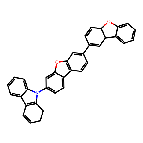 C1=Cc2c(n(-c3ccc4c(c3)oc3cc(C5=CC6c7ccccc7OC6C=C5)ccc34)c3ccccc23)CC1